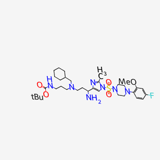 COc1cc(F)ccc1N1CCN(S(=O)(=O)n2cc(C(N)CCN(CCCNC(=O)OC(C)(C)C)CC3CCCCC3)nc2C)CC1